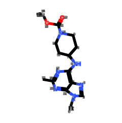 CCn1cnc2c(NC3CCN(C(=O)OC(C)(C)C)CC3)nc(C)nc21